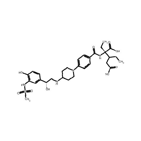 CCC(CC(=O)O)[C@](CC)(NC(=O)c1ccc(N2CCC(NC[C@H](O)c3ccc(O)c(NS(C)(=O)=O)c3)CC2)cc1)C(=O)O